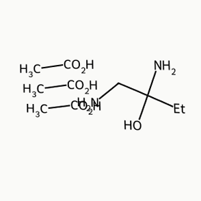 CC(=O)O.CC(=O)O.CC(=O)O.CCC(N)(O)CN